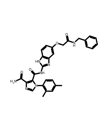 Cc1ccc(-n2cnc(C(N)=O)c2C(=O)Nc2nc3cc(OCC(=O)NCc4ccccc4)ccc3[nH]2)c(C)c1